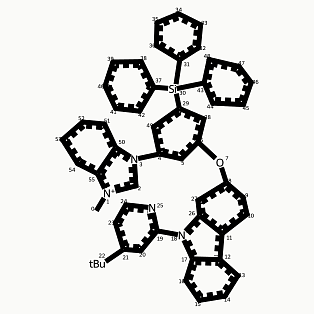 C[n+]1cn(-c2cc(Oc3ccc4c5ccccc5n(-c5cc(C(C)(C)C)ccn5)c4c3)cc([Si](c3ccccc3)(c3ccccc3)c3ccccc3)c2)c2ccccc21